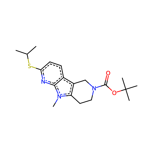 CC(C)Sc1ccc2c3c(n(C)c2n1)CCN(C(=O)OC(C)(C)C)C3